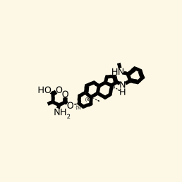 CNc1ccccc1NC1=CCC2C3CC=C4C[C@@H](OC(=O)C(N)C(C)C(=O)O)CC[C@]4(C)C3CC[C@]12C